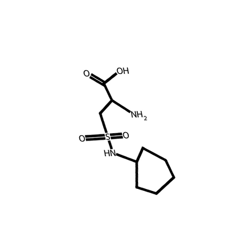 NC(CS(=O)(=O)NC1CCCCC1)C(=O)O